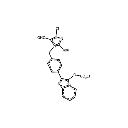 CCCCc1nc(Cl)c(C=O)n1Cc1ccc(-c2nc3ncccn3c2OC(=O)OCC)cc1